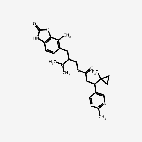 Cc1ncc(C(CC(=O)NCC(Cc2ccc3[nH]c(=O)oc3c2C)N(C)C)C2(C(F)(F)F)CC2)cn1